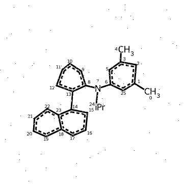 Cc1cc(C)cc(N(c2ccccc2-c2cccc3ccccc23)C(C)C)c1